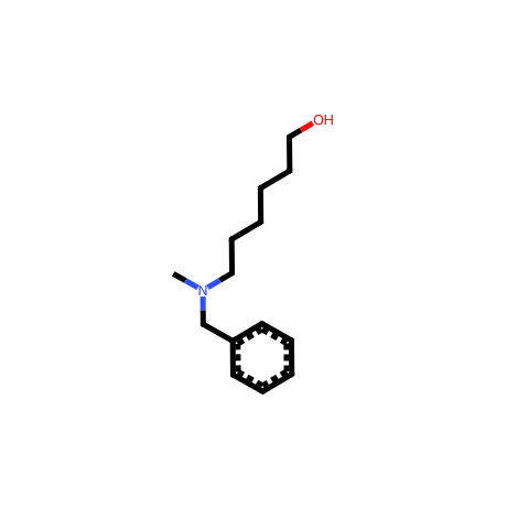 CN(CCCCCCO)Cc1ccccc1